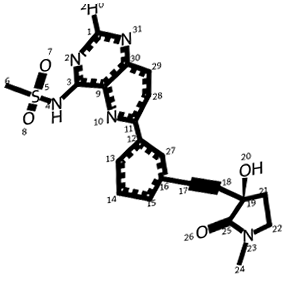 [2H]c1nc(NS(C)(=O)=O)c2nc(-c3cccc(C#C[C@]4(O)CCN(C)C4=O)c3)ccc2n1